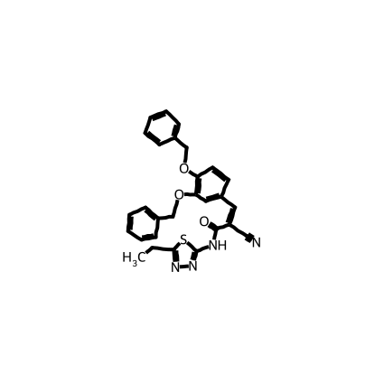 CCc1nnc(NC(=O)C(C#N)=Cc2ccc(OCc3ccccc3)c(OCc3ccccc3)c2)s1